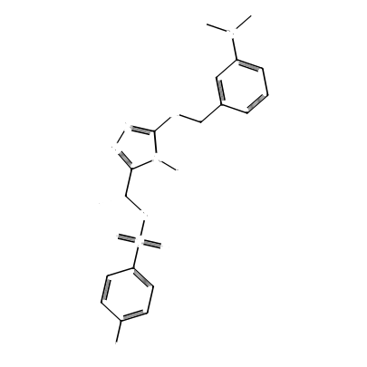 CCn1c(SCc2cccc(N(C)C)c2)nnc1[C@@H](C)NS(=O)(=O)c1ccc(Cl)cc1